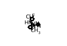 Cc1cccc2c(Nc3ccc(F)c(Cl)c3)nc(-c3cnccn3)nc12